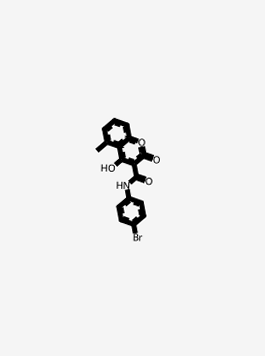 Cc1cccc2oc(=O)c(C(=O)Nc3ccc(Br)cc3)c(O)c12